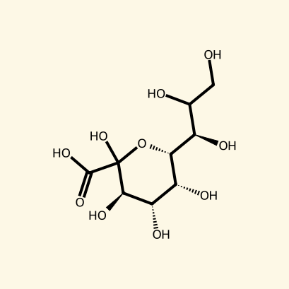 O=C(O)C1(O)O[C@H]([C@H](O)C(O)CO)[C@H](O)[C@H](O)[C@H]1O